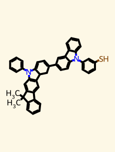 CC1(C)c2ccccc2-c2cc3c(cc21)N(c1ccccc1)C1=CC=C(c2ccc4c(c2)c2ccccc2n4-c2cccc(S)c2)CC13